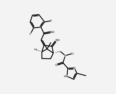 CCN(C[C@@]12CC[C@@H](/C(=C/C(=N)c3c(F)cccc3F)C1=N)C2(C)C)C(=O)c1nc(C)c[nH]1